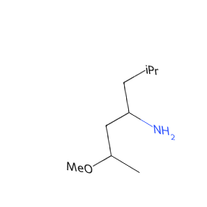 COC(C)CC(N)CC(C)C